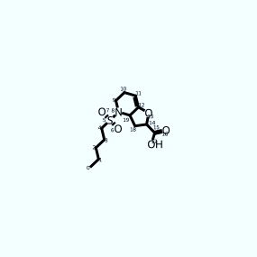 CCCCCS(=O)(=O)N1CCC=C2OC(C(=O)O)CC21